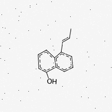 CC=Cc1cccc2c(O)cccc12